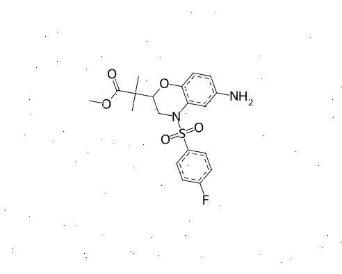 COC(=O)C(C)(C)C1CN(S(=O)(=O)c2ccc(F)cc2)c2cc(N)ccc2O1